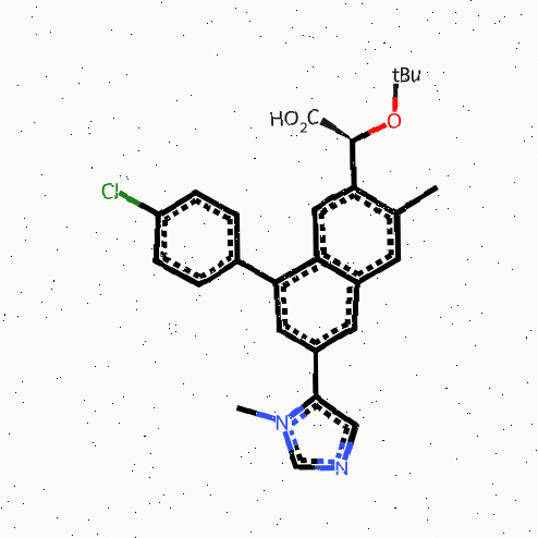 Cc1cc2cc(-c3cncn3C)cc(-c3ccc(Cl)cc3)c2cc1[C@H](OC(C)(C)C)C(=O)O